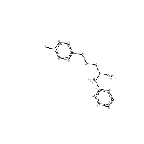 Cc1ccc(CCCC([SiH3])[SiH2]c2ccccc2)cc1